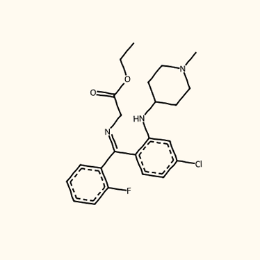 CCOC(=O)CN=C(c1ccccc1F)c1ccc(Cl)cc1NC1CCN(C)CC1